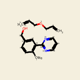 C=CCOCC=C.COc1ccc(CO)cc1-c1ncccn1